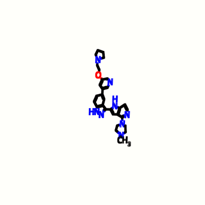 CN1CCN(c2nccc3[nH]c(-c4n[nH]c5ccc(-c6cncc(OCCN7CCCC7)c6)cc45)cc23)CC1